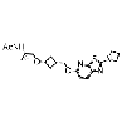 CC(=O)N[C@@H](C)CO[C@H]1C[C@H](COc2ccc3nc(N4CCC4)sc3n2)C1